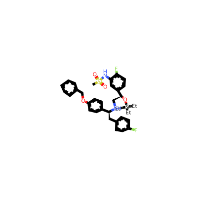 CC[Si](CC)(CC)O[C@@H](CN[C@@H](Cc1ccc(F)cc1)c1ccc(OCc2ccccc2)cc1)c1ccc(F)c(NS(C)(=O)=O)c1